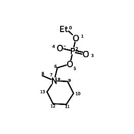 CCOP(=O)([O-])OC[N+]1(C)CCCCC1